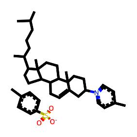 Cc1cc[n+](C2CCC3(C)C(=CCC4C3CCC3(C)C(C(C)CCCC(C)C)CCC43)C2)cc1.Cc1ccc(S(=O)(=O)[O-])cc1